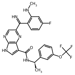 CNc1cc(F)ccc1C(=N)c1cnc2[nH]cc(C(=O)N[C@H](C)c3cccc(OC(F)(F)F)c3)c2n1